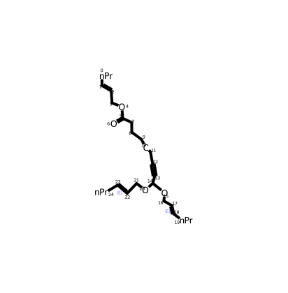 CCCC=CCOC(=O)CCCCCC#CC(OC/C=C/CCC)OC/C=C/CCC